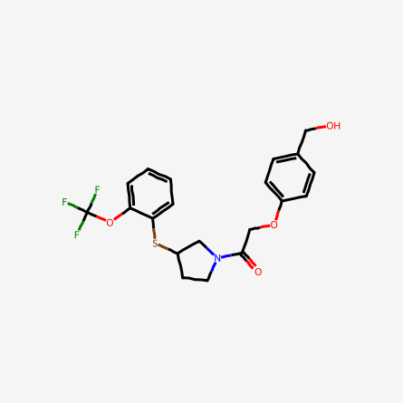 O=C(COc1ccc(CO)cc1)N1CCC(Sc2ccccc2OC(F)(F)F)C1